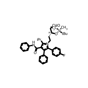 CC(C)c1c(C(=O)Nc2ccccc2)c(-c2ccccc2)c(-c2ccc(F)cc2)n1CC[C@H](CC=O)O[Si](C)(C)C(C)(C)C